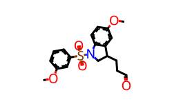 COc1cccc(S(=O)(=O)N2CC(CCC=O)c3cc(OC)ccc32)c1